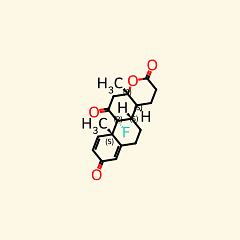 C[C@]12C=CC(=O)C=C1CC[C@H]1[C@@H]3CCC(=O)O[C@@]3(C)CC(=O)[C@@]12F